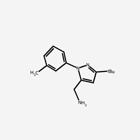 Cc1cccc(-n2nc(C(C)(C)C)cc2CN)c1